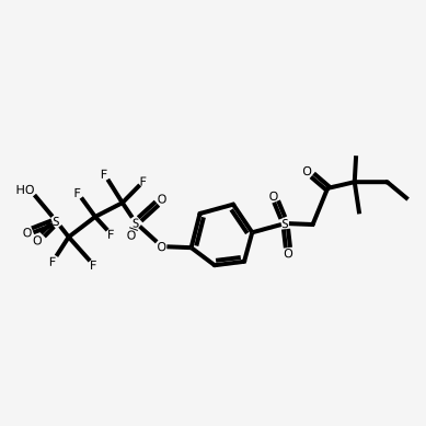 CCC(C)(C)C(=O)CS(=O)(=O)c1ccc(OS(=O)(=O)C(F)(F)C(F)(F)C(F)(F)S(=O)(=O)O)cc1